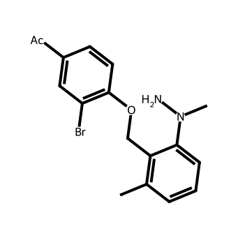 CC(=O)c1ccc(OCc2c(C)cccc2N(C)N)c(Br)c1